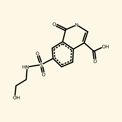 O=C(O)C1=C[N]C(=O)c2cc(S(=O)(=O)NCCO)ccc21